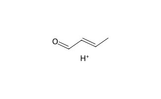 CC=CC=O.[H+]